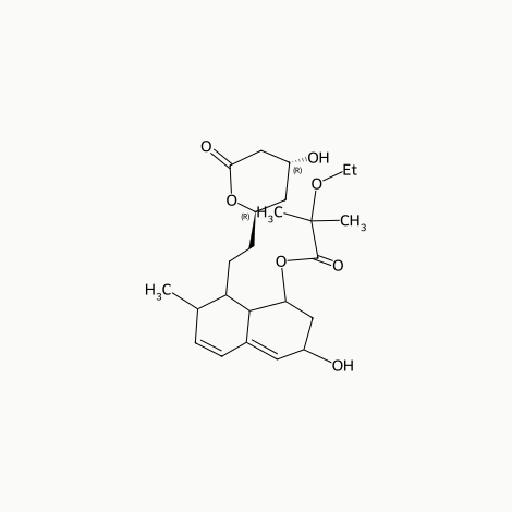 CCOC(C)(C)C(=O)OC1CC(O)C=C2C=CC(C)C(CC[C@@H]3C[C@@H](O)CC(=O)O3)C21